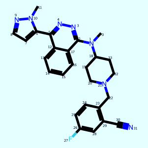 CN(c1nnc(-c2ccnn2C)c2ccccc12)C1CCN(Cc2ccc(F)cc2C#N)CC1